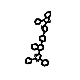 c1ccc(-c2cc(-c3ccc(-c4ccc(-c5ccc(-c6nc7ccccc7n6-c6ccccc6)nc5)cc4)c4ccccc34)nc(-c3ccccc3)n2)cc1